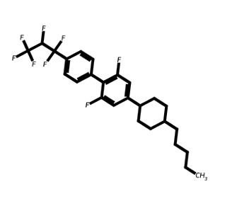 CCCCCC1CCC(c2cc(F)c(-c3ccc(C(F)(F)C(F)C(F)(F)F)cc3)c(F)c2)CC1